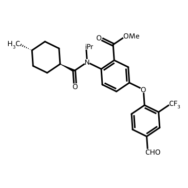 COC(=O)c1cc(Oc2ccc(C=O)cc2C(F)(F)F)ccc1N(C(=O)[C@H]1CC[C@H](C)CC1)C(C)C